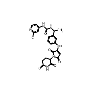 CC(NC(=O)Nc1ccnc(Cl)c1)c1cccc(NC2=CC(=O)N(C3CCC(=O)NC3=O)C2=O)c1